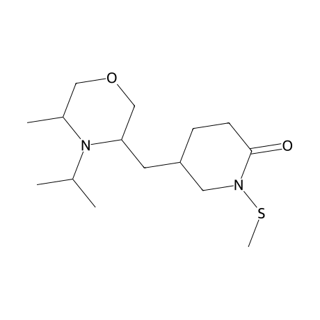 CSN1CC(CC2COCC(C)N2C(C)C)CCC1=O